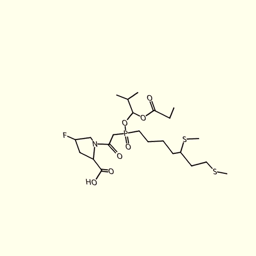 CCC(=O)OC(OP(=O)(CCCCC(CCSC)SC)CC(=O)N1CC(F)CC1C(=O)O)C(C)C